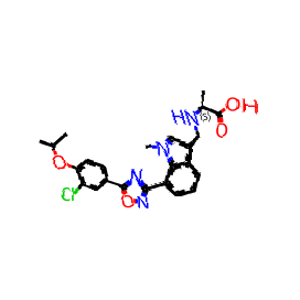 CC(C)Oc1ccc(-c2nc(-c3cccc4c(CN[C@@H](C)C(=O)O)cn(C)c34)no2)cc1Cl